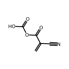 C=C(C#N)C(=O)OC(=O)O